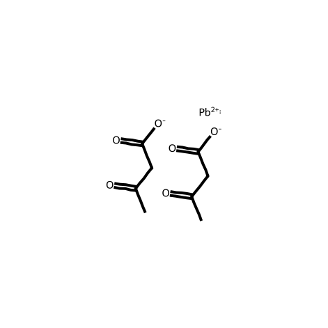 CC(=O)CC(=O)[O-].CC(=O)CC(=O)[O-].[Pb+2]